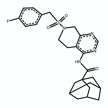 O=C(Nc1ncnc2c1CCN(S(=O)(=O)Cc1ccc(F)cc1)C2)C12CC3CC(CC(C3)C1)C2